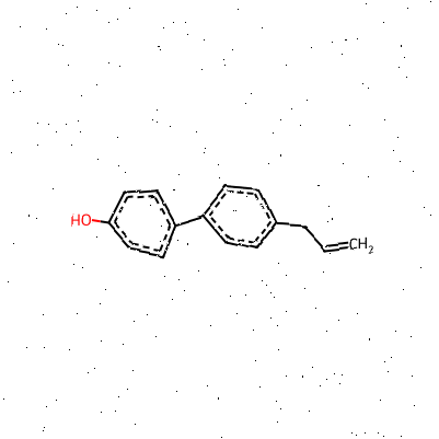 C=CCc1ccc(-c2ccc(O)cc2)cc1